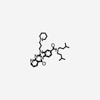 CC(C)CCN(CCC(C)C)C(=O)c1ccc2c(c1)n(CCCN1CCCCC1)c1nc3ncccc3c(=O)n21